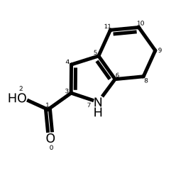 O=C(O)c1cc2c([nH]1)CCC=C2